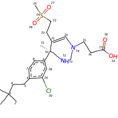 CC(C)(C)CCc1ccc([C@]2(C)NCN(CCC(=O)O)C=C2CCS(C)(=O)=O)cc1Cl